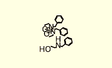 OCCNCc1ccccc1.c1ccc(CN2CCO[Si]23OCCN3Cc2ccccc2)cc1